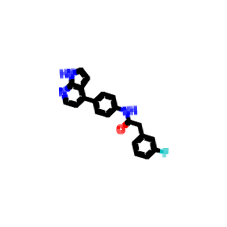 O=C(Cc1cccc(F)c1)Nc1ccc(-c2ccnc3[nH]ccc23)cc1